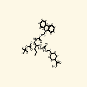 CCCC(=NNC(=O)NCC1CCC(C(=O)O)CC1)[C@H](CC(=O)OC(C)(C)C)NC(=O)OCC1c2ccccc2-c2ccccc21